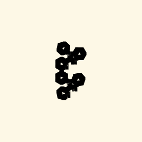 c1ccc(-n2c(-c3cccc(-c4cccc(-n5c(-c6ccccn6)nc6ccccc65)c4)n3)nc3ccccc32)cc1